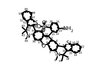 CN1c2cc3c(cc2-c2sc4ccccc4c2C1(C)C)C(c1cc(N)ccc1S(=O)(=O)O)=c1cc2c(cc1O3)=[N+](C)C(C)(C)c1c-2sc2ccccc12